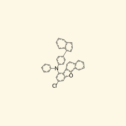 Clc1cc(N(c2ccccc2)c2ccc(-c3cccc4ccccc34)cc2)c2c(c1)oc1c3ccccc3ccc12